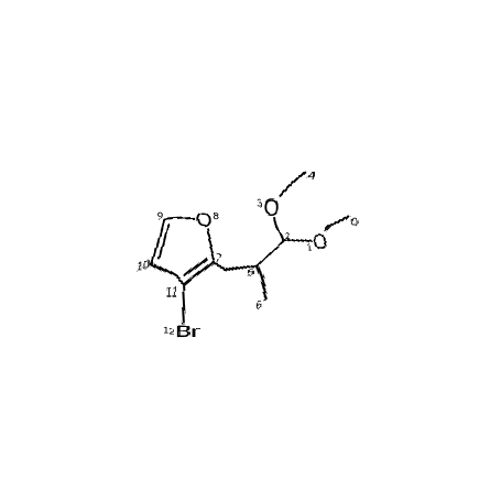 COC(OC)C(C)c1occc1Br